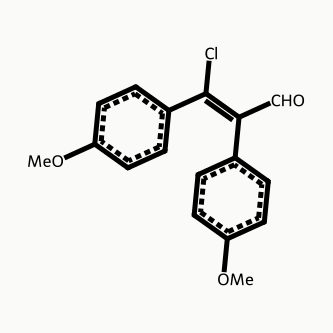 COc1ccc(C(Cl)=C(C=O)c2ccc(OC)cc2)cc1